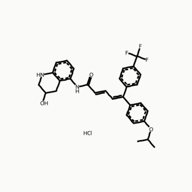 CC(C)Oc1ccc(/C(=C/C=C/C(=O)Nc2cccc3c2CC(O)CN3)c2ccc(C(F)(F)F)cc2)cc1.Cl